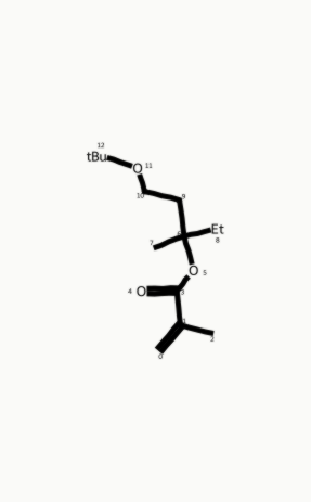 C=C(C)C(=O)OC(C)(CC)CCOC(C)(C)C